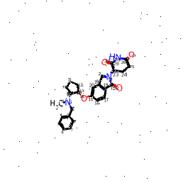 CN(Cc1ccccc1)[C@@H]1CCC[C@H]1Oc1ccc2c(c1)CN(C1CCC(=O)NC1=O)C2=O